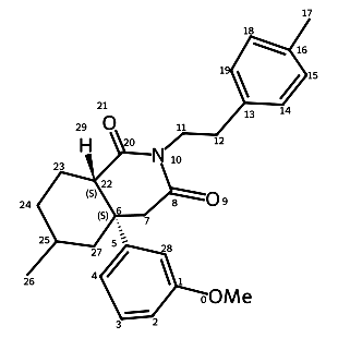 COc1cccc([C@@]23CC(=O)N(CCc4ccc(C)cc4)C(=O)[C@H]2CCC(C)C3)c1